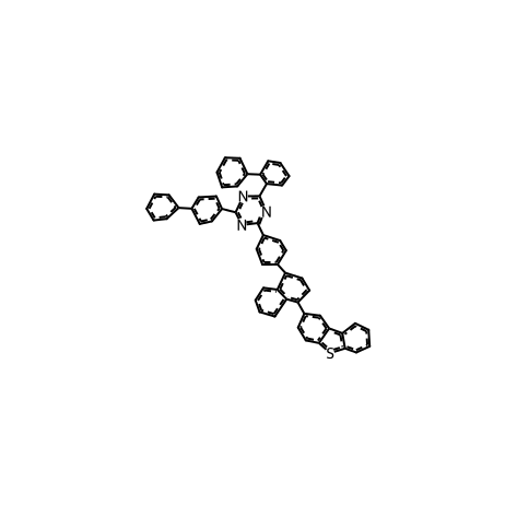 c1ccc(-c2ccc(-c3nc(-c4ccc(-c5ccc(-c6ccc7sc8ccccc8c7c6)c6ccccc56)cc4)nc(-c4ccccc4-c4ccccc4)n3)cc2)cc1